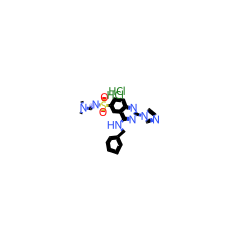 CN(C)/C=N/S(=O)(=O)c1ccc2nc(-n3ccnc3)nc(NCc3ccccc3)c2c1.Cl.Cl